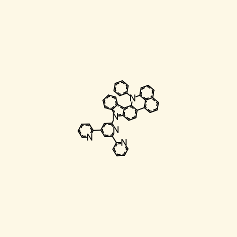 c1ccc(N2c3cccc4cccc(c34)-c3ccc4c(c32)c2ccccc2n4-c2cc(-c3ccccn3)cc(-c3ccccn3)n2)cc1